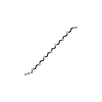 [N-]=[N+]=NOCCOCCOCCOCCOCCOCCOCCO